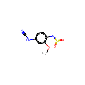 COc1cc(NC#N)ccc1N=S(=O)=O